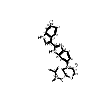 CC(C)N(C)C[C@@H]1CN(c2ccc3nc(-c4n[nH]c5cc(Cl)ccc45)[nH]c3c2)[C@H](C)CO1